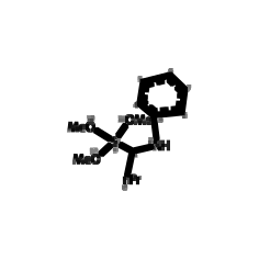 CCCC(Nc1ccccc1)[Si](OC)(OC)OC